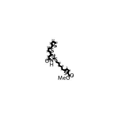 COC(=O)c1ccc(CCCCCSc2nc(-c3ccc(-c4cccs4)s3)cc(=O)[nH]2)s1